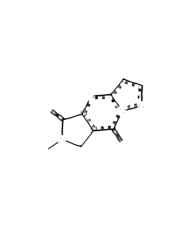 CC(C)N1Cc2c([nH]c3ccnn3c2=O)C1=O